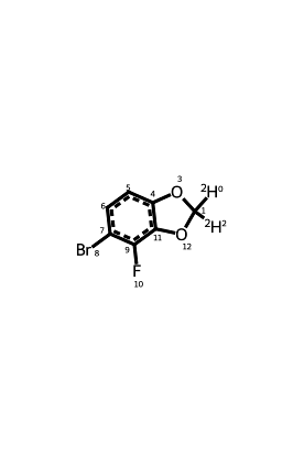 [2H]C1([2H])Oc2ccc(Br)c(F)c2O1